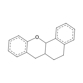 c1ccc2c(c1)CC1CCc3ccccc3C1O2